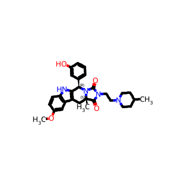 COc1ccc2[nH]c3c(c2c1)C[C@@]1(C)C(=O)N(CCN2CCC(C)CC2)C(=O)N1[C@@H]3c1cccc(O)c1